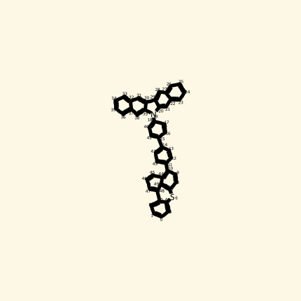 c1ccc2c(c1)Sc1ccc(-c3ccc(-c4ccc(-n5c6cc7ccccc7cc6c6cc7ccccc7cc65)cc4)cc3)c3cccc-2c13